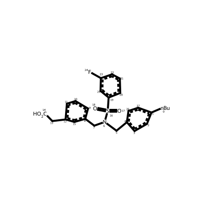 CCCCc1ccc(CN(Cc2cccc(CC(=O)O)c2)S(=O)(=O)c2cccc(F)c2)cc1